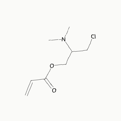 C=CC(=O)OCC(CCl)N(C)C